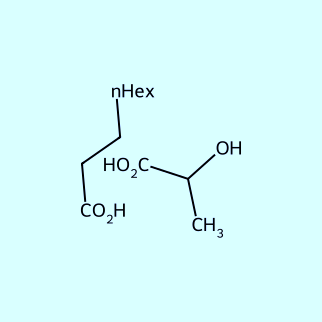 CC(O)C(=O)O.CCCCCCCCC(=O)O